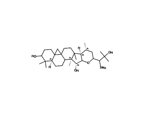 CSC(C1C[C@@H](C)[C@H]2C(O1)[C@H](O)[C@@]1(C)C3CC[C@H]4C(C)(C)C(O)CCC45CC35CCC21C)C(C)(C)O